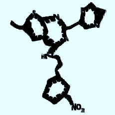 Cc1cc2c(NCc3cccc([N+](=O)[O-])c3)nc(-c3cnccn3)nc2s1